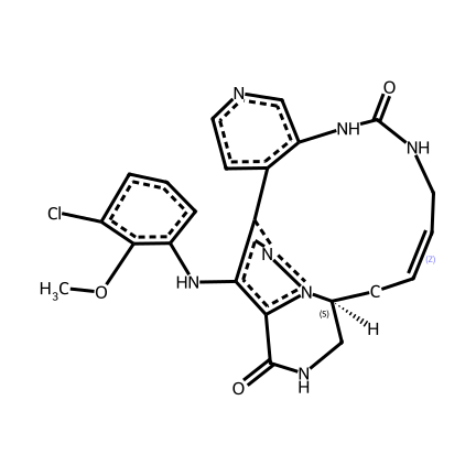 COc1c(Cl)cccc1Nc1c2nn3c1C(=O)NC[C@@H]3C/C=C\CNC(=O)Nc1cnccc1-2